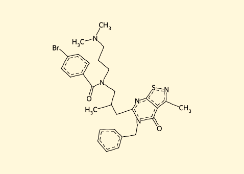 Cc1nsc2nc(CC(C)CN(CCCN(C)C)C(=O)c3ccc(Br)cc3)n(Cc3ccccc3)c(=O)c12